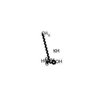 CCCCCCCCCCCCCCCCCC(=O)NC(Cc1ccc(O)cc1)C(=O)O.[KH]